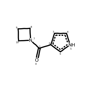 O=C(c1cc[nH]c1)N1CCC1